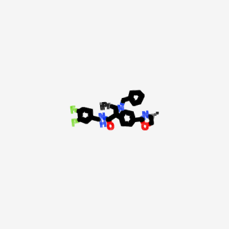 CC(C)c1c(C(=O)NCc2ccc(F)c(F)c2)c2ccc(C3=N[C@H](C)CO3)cc2n1Cc1ccccc1